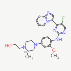 COc1cc(N2CCN(CCO)[C@H](C)C2)ccc1Nc1ncc(F)c(-c2cnc3ccccn23)n1